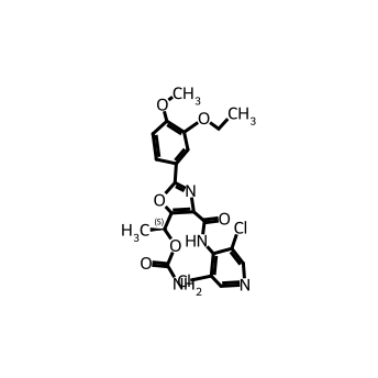 CCOc1cc(-c2nc(C(=O)Nc3c(Cl)cncc3Cl)c([C@H](C)OC(N)=O)o2)ccc1OC